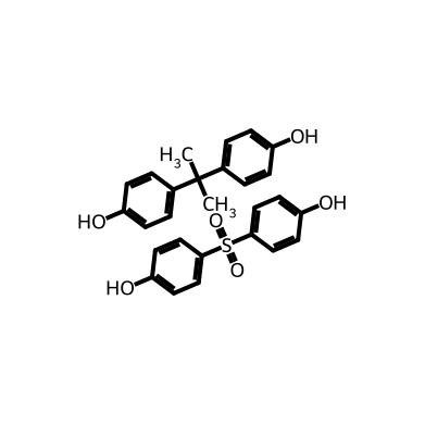 CC(C)(c1ccc(O)cc1)c1ccc(O)cc1.O=S(=O)(c1ccc(O)cc1)c1ccc(O)cc1